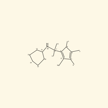 CC1=C(C)C(C)C([Si](C)(C)NC2CCCCC2)=C1C